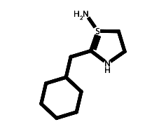 NS1=C(CC2CCCCC2)NCC1